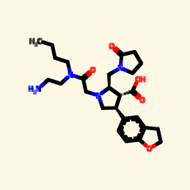 CCCCN(CCN)C(=O)CN1C[C@H](c2ccc3c(c2)CCO3)[C@@H](C(=O)O)[C@@H]1CN1CCCC1=O